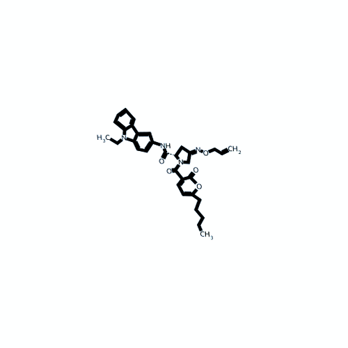 C=CCON=C1C[C@@H](C(=O)Nc2ccc3c(c2)c2ccccc2n3CC)N(C(=O)c2ccc(CCCCC)oc2=O)C1